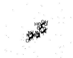 CC1(C)CN(c2ccn(-c3cnnc(Cl)c3)n2)C(=O)C(C(O)C(=O)O)O1